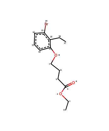 CCOC(=O)CCCOc1cccc(Br)c1CC